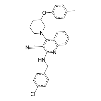 Cc1ccc(OC2CCCN(c3c(C#N)c(NCc4ccc(Cl)cc4)nc4ccccc34)C2)cc1